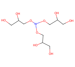 OCC(O)CON(OCC(O)CO)OCC(O)CO